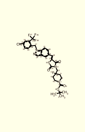 CC(C)(C)OC(=O)N1CCC(F)(CN2C(=O)SC(=Cc3ccc4c(cnn4Cc4ccc(Cl)cc4C(F)(F)F)c3)C2=O)CC1